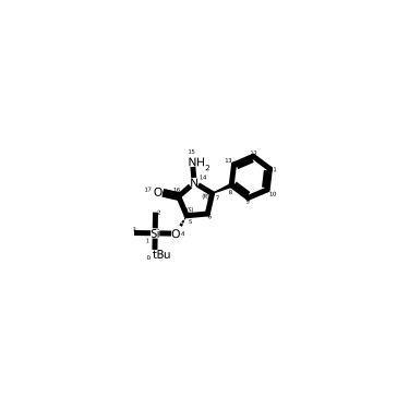 CC(C)(C)[Si](C)(C)O[C@H]1C[C@H](c2ccccc2)N(N)C1=O